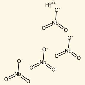 [Hf+4].[O]=[Nb](=[O])[O-].[O]=[Nb](=[O])[O-].[O]=[Nb](=[O])[O-].[O]=[Nb](=[O])[O-]